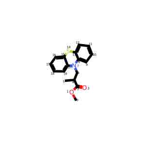 COC(=O)C(C)CN1c2ccccc2Sc2ccccc21